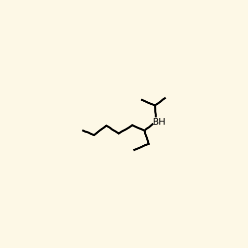 CCCCCC(BC(C)C)CC